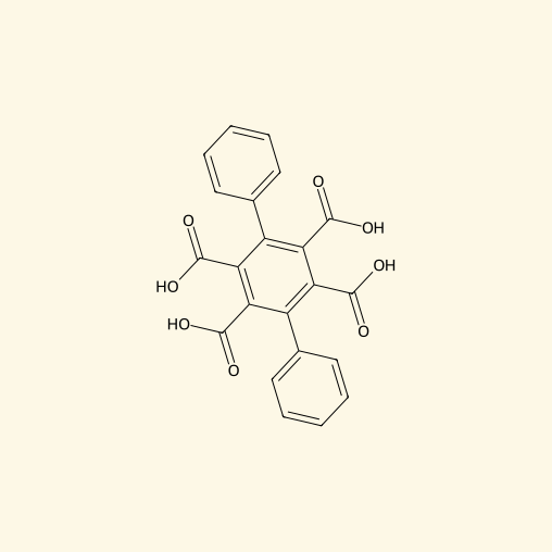 O=C(O)c1c(C(=O)O)c(-c2ccccc2)c(C(=O)O)c(C(=O)O)c1-c1ccccc1